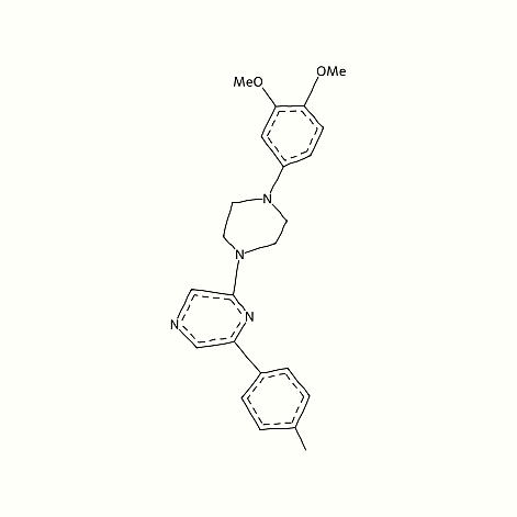 COc1ccc(N2CCN(c3cncc(-c4ccc(C)cc4)n3)CC2)cc1OC